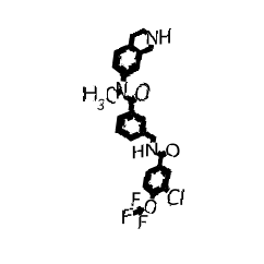 CN(C(=O)c1cccc(CNC(=O)c2ccc(OC(F)(F)F)c(Cl)c2)c1)c1ccc2c(c1)CNCC2